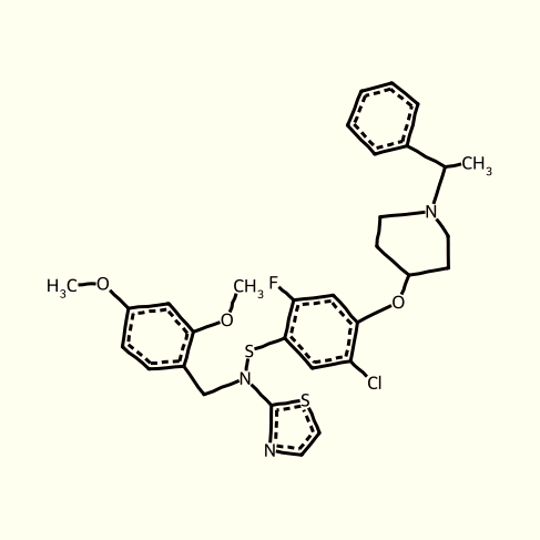 COc1ccc(CN(Sc2cc(Cl)c(OC3CCN(C(C)c4ccccc4)CC3)cc2F)c2nccs2)c(OC)c1